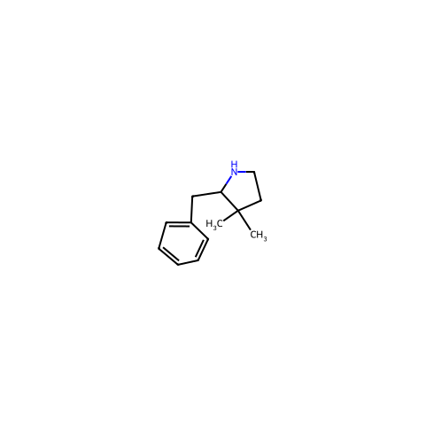 CC1(C)CCNC1Cc1ccccc1